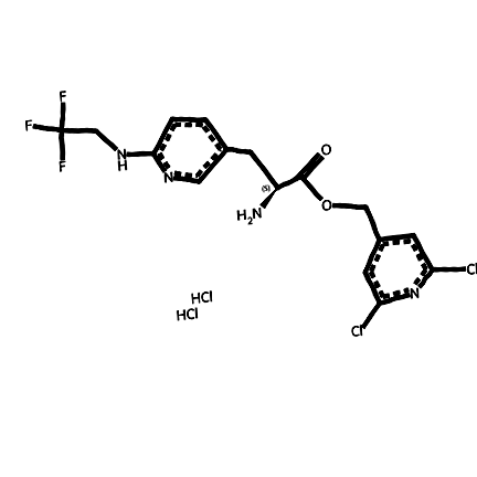 Cl.Cl.N[C@@H](Cc1ccc(NCC(F)(F)F)nc1)C(=O)OCc1cc(Cl)nc(Cl)c1